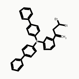 C=C(CC(CC)CC)c1cccc(N(c2ccc(-c3ccccc3)cc2)c2ccc(-c3ccccc3)cc2)c1